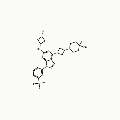 CC1(O)CCN(C2CN(c3nc(N[C@H]4C[C@@H](F)C4)nc4c3cnn4-c3cccc(C(F)(F)F)c3)C2)CC1